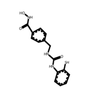 O=C(NCc1ccc(C(=O)NO)cc1)Nc1ccccc1S